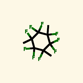 CC1(F)C(F)(F)C(C)(F)C(F)(F)C(C)(F)C1(F)F